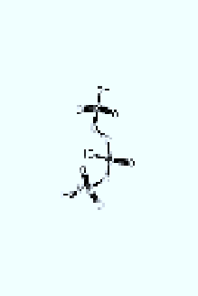 O=P(O)(OOS(=O)(=O)O)[O][Mo](=[O])(=[O])[OH]